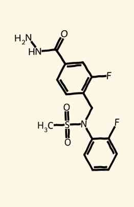 CS(=O)(=O)N(Cc1ccc(C(=O)NN)cc1F)c1ccccc1F